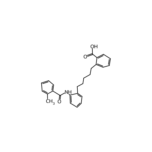 Cc1ccccc1C(=O)Nc1ccccc1CCCCCc1ccccc1C(=O)O